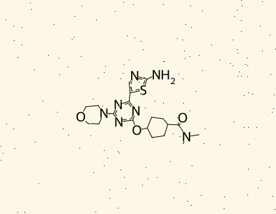 CN(C)C(=O)C1CCC(Oc2nc(-c3cnc(N)s3)nc(N3CCOCC3)n2)CC1